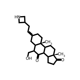 C[C@]12CC/C(=C\CC3CNC3)CC1C(CO)C(=O)C1C2CC[C@]2(C)C(=O)CCC12